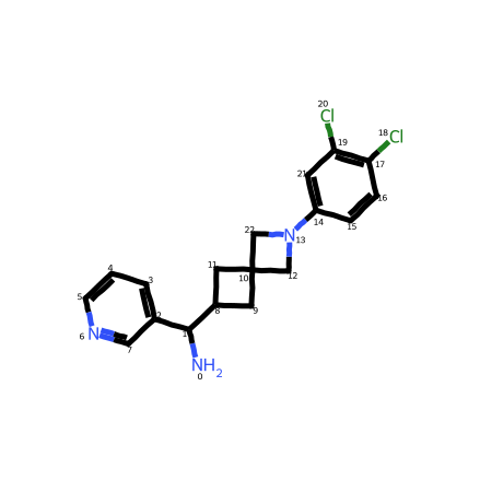 NC(c1cccnc1)C1CC2(C1)CN(c1ccc(Cl)c(Cl)c1)C2